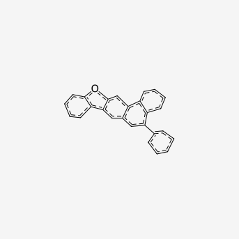 c1ccc(-c2cc3cc4c(cc3c3ccccc23)oc2ccccc24)cc1